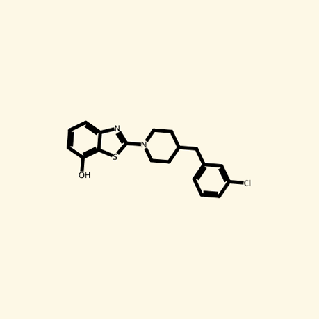 Oc1cccc2nc(N3CCC(Cc4cccc(Cl)c4)CC3)sc12